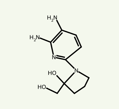 Nc1ccc(N2CCCC2(O)CO)nc1N